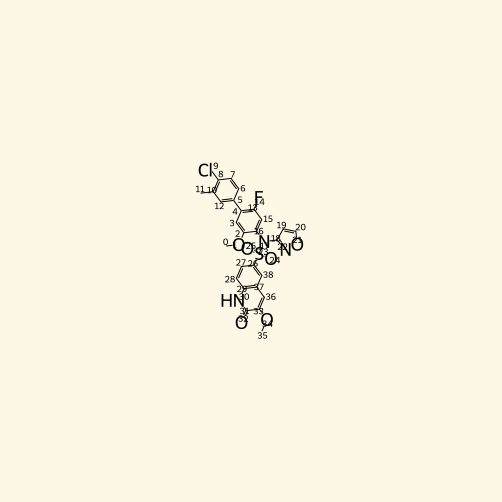 COc1cc(-c2ccc(Cl)c(C)c2)c(F)cc1N(c1ccon1)S(=O)(=O)c1ccc2[nH]c(=O)c(OC)cc2c1